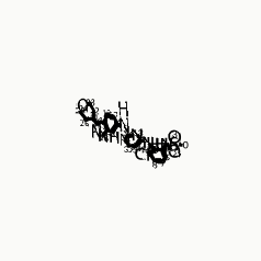 CS(=O)(=O)Nc1ccccc1Nc1nc(Nc2ccc3c(C4CCOCC4)n[nH]c3c2)ncc1Cl